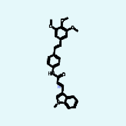 COc1cc(C=Cc2ccc(NC(=O)/C=C/c3cn(C)c4ccccc34)cc2)cc(OC)c1OC